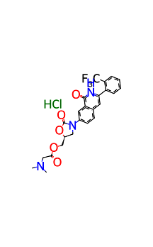 CN(C)CC(=O)OC[C@@H]1CN(c2ccc3cc(-c4ccccc4C(F)(F)F)[nH]c(=O)c3c2)C(=O)O1.Cl